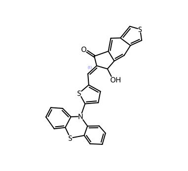 O=C1/C(=C/c2ccc(N3c4ccccc4Sc4ccccc43)s2)C(O)c2cc3cscc3cc21